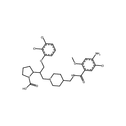 COc1cc(N)c(Cl)cc1C(=O)NCC1CCN(CC(COc2cccc(Cl)c2Cl)C2CCCN2C(=O)O)CC1